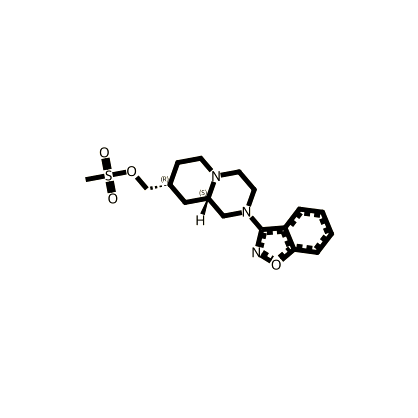 CS(=O)(=O)OC[C@@H]1CCN2CCN(c3noc4ccccc34)C[C@@H]2C1